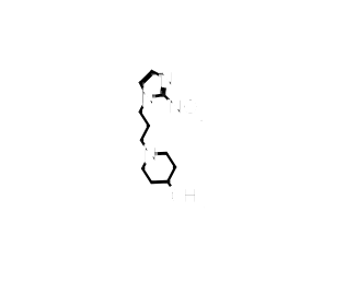 CC1CCN(CCCn2ccnc2[N+](=O)[O-])CC1